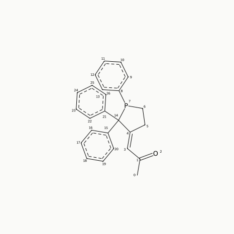 CC(=O)C=C1CCP(c2ccccc2)C1(c1ccccc1)c1ccccc1